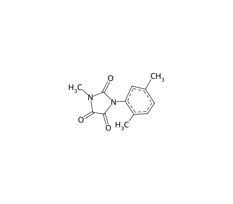 Cc1ccc(C)c(N2C(=O)C(=O)N(C)C2=O)c1